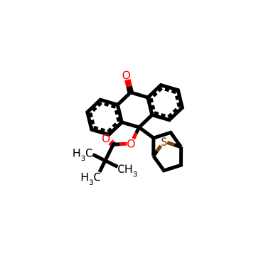 CC(C)(C)C(=O)OC1(C2CC3CCC2S3)c2ccccc2C(=O)c2ccccc21